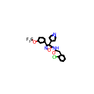 O=C(Cc1ccccc1Cl)Nc1onc(-c2cccc(OC(F)(F)F)c2)c1-c1ccncc1